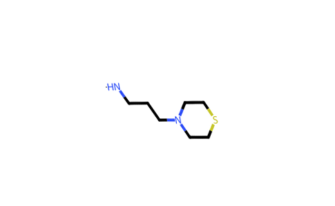 [NH]CCCN1CCSCC1